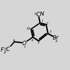 N#Cc1cc(Br)cc(OCC(F)(F)F)c1